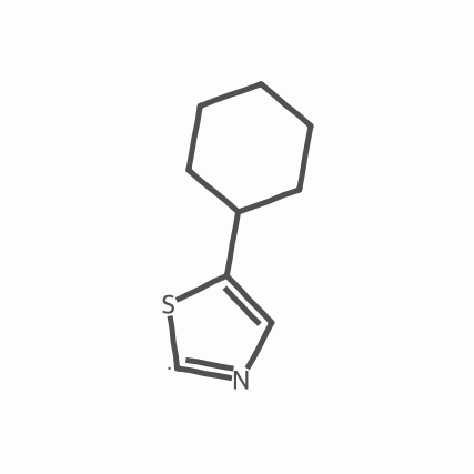 [c]1ncc(C2CCCCC2)s1